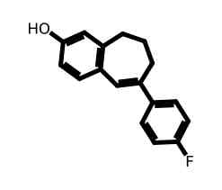 Oc1ccc2c(c1)CCCC(c1ccc(F)cc1)=C2